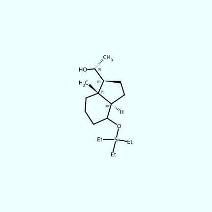 CC[Si](CC)(CC)OC1CCC[C@]2(C)[C@@H]([C@@H](C)O)CC[C@@H]12